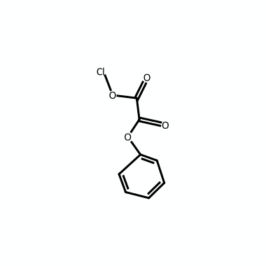 O=C(OCl)C(=O)Oc1ccccc1